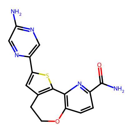 NC(=O)c1ccc2c(n1)-c1sc(-c3cnc(N)cn3)cc1CCO2